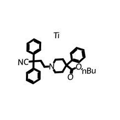 CCCCOC(=O)C1(c2ccccc2)CCN(CCC(C#N)(c2ccccc2)c2ccccc2)CC1.[Ti]